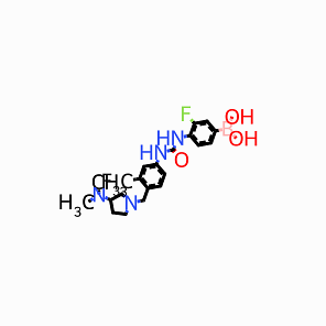 CN(C)C1CCN(Cc2ccc(NC(=O)Nc3ccc(B(O)O)cc3F)cc2C(F)(F)F)C1